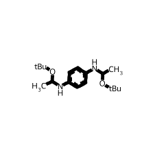 CC(Nc1ccc(NC(C)OC(C)(C)C)cc1)OC(C)(C)C